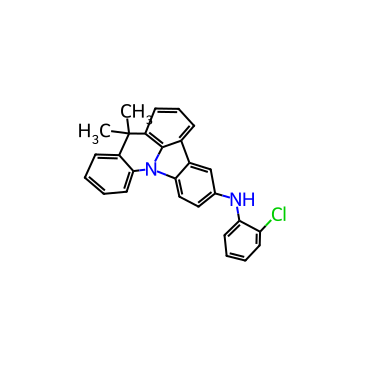 CC1(C)c2ccccc2-n2c3ccc(Nc4ccccc4Cl)cc3c3cccc1c32